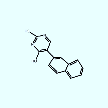 Oc1nc(S)ncc1-c1ccc2ccccc2c1